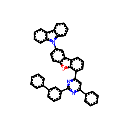 c1ccc(-c2cccc(-c3nc(-c4ccccc4)cc(-c4cccc5c4oc4ccc(-n6c7ccccc7c7ccccc76)cc45)n3)c2)cc1